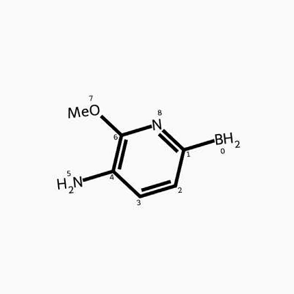 Bc1ccc(N)c(OC)n1